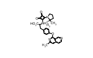 Cc1cc2ccncc2c(Oc2ccc(CC(Nc3c(N4CCCC4(C)C)c(=O)c3=O)C(=O)O)cc2)n1